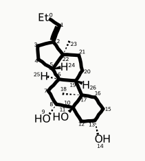 CCC=C1CC[C@H]2[C@@H]3C[C@@H](O)[C@@]4(O)C[C@@H](O)CC[C@]4(C)[C@H]3CC[C@]12C